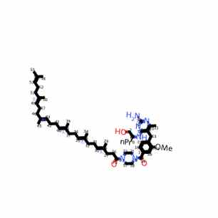 CCC[C@@H](CO)Nc1nc(N)nc(C)c1Cc1ccc(C(=O)N2CCN(C(=O)CC/C(C)=C/CC/C(C)=C/CC/C(C)=C/CC/C=C(\C)CC/C=C(\C)CCC=C(C)C)CC2)cc1OC